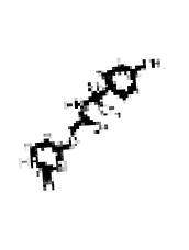 Cc1ccc(C(NC(=O)COc2cc[nH]c(=O)n2)(C(F)(F)F)C(F)(F)F)cc1